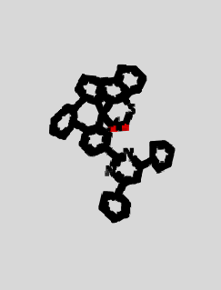 c1ccc(-c2cc(-c3ccccc3)nc(-c3ccc4c(c3)C3(c5ccccc5Sc5c3ccc3ccccc53)c3ccccc3-c3ccccc3-4)n2)cc1